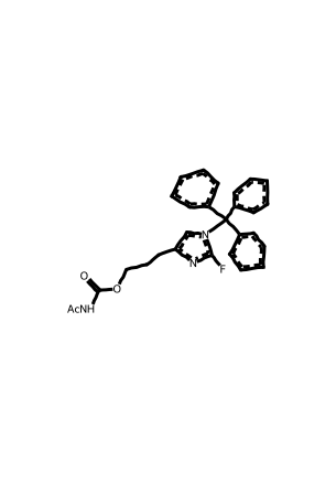 CC(=O)NC(=O)OCCCc1cn(C(c2ccccc2)(c2ccccc2)c2ccccc2)c(F)n1